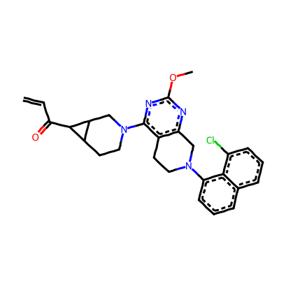 C=CC(=O)C1C2CCN(c3nc(OC)nc4c3CCN(c3cccc5cccc(Cl)c35)C4)CC21